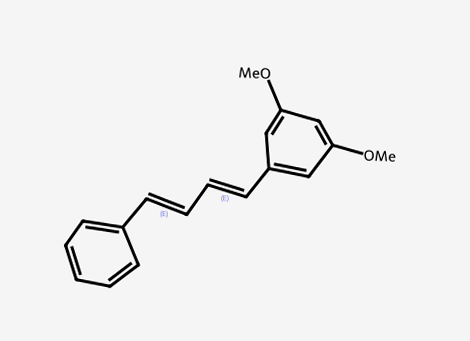 COc1cc(/C=C/C=C/c2ccccc2)cc(OC)c1